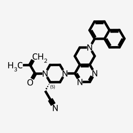 C=C(C)C(=O)N1CCN(c2ncnc3c2CCN(c2cccc4ccccc24)C3)C[C@@H]1CC#N